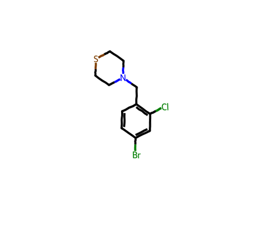 Clc1cc(Br)ccc1CN1CCSCC1